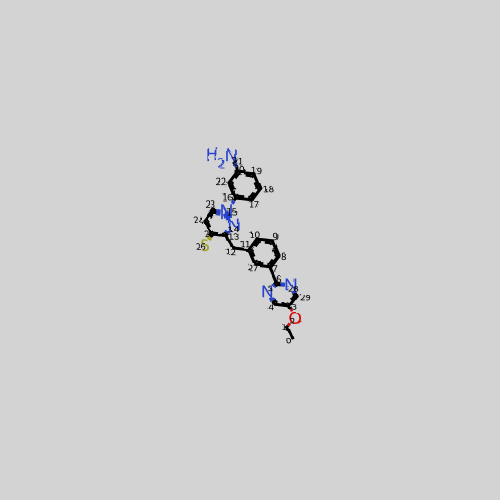 CCOc1cnc(-c2cccc(Cc3nn(-c4cccc(N)c4)ccc3=S)c2)nc1